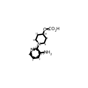 Nc1cccnc1N1CCC(OC(=O)O)CC1